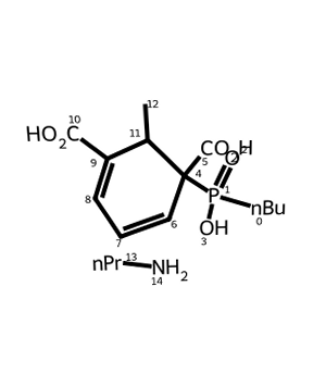 CCCCP(=O)(O)C1(C(=O)O)C=CC=C(C(=O)O)C1C.CCCN